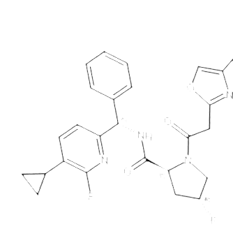 Cc1coc(CC(=O)N2C[C@H](F)C[C@H]2C(=O)N[C@@H](c2ccccc2)c2ccc(C3CC3)c(F)n2)n1